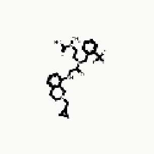 CN(CCN(Cc1ccccc1C(F)(F)F)C(=O)CNc1cccc2c1CN(CC1CC1)CC2)C(=O)O